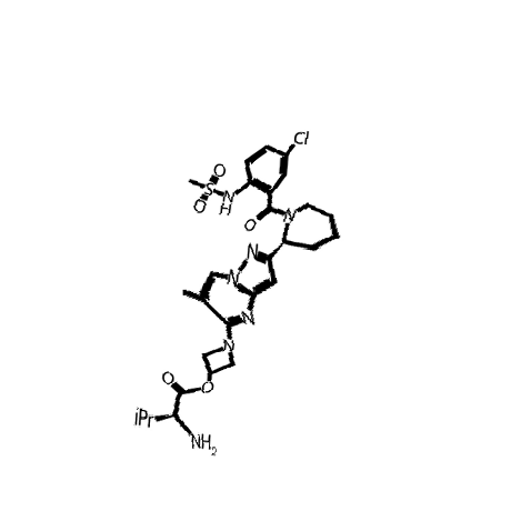 Cc1cn2nc([C@@H]3CCCCN3C(=O)c3cc(Cl)ccc3NS(C)(=O)=O)cc2nc1N1CC(OC(=O)[C@@H](N)C(C)C)C1